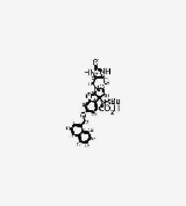 CC(C)(C)N(C(=O)O)C1(c2ccc(OCc3cccc4ccccc34)cc2)CCN(CC2NC(=O)NC2=O)C1=O